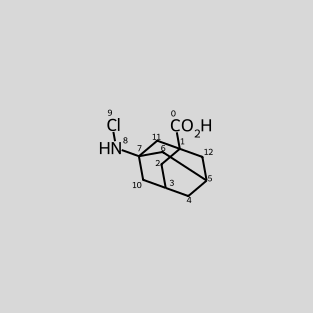 O=C(O)C12CC3CC(CC(NCl)(C3)C1)C2